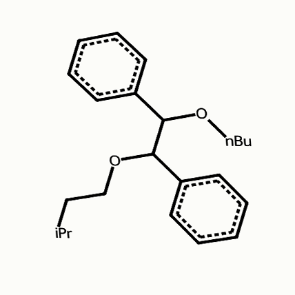 CCCCOC(c1ccccc1)C(OCCC(C)C)c1ccccc1